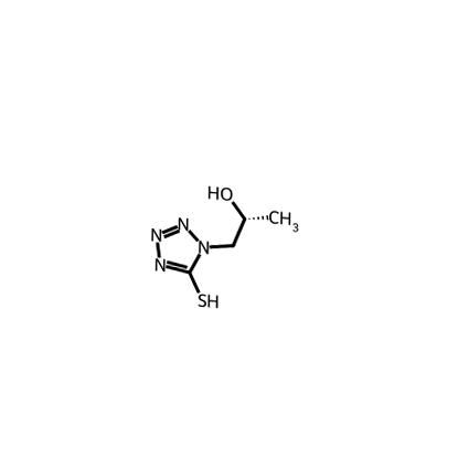 C[C@@H](O)Cn1nnnc1S